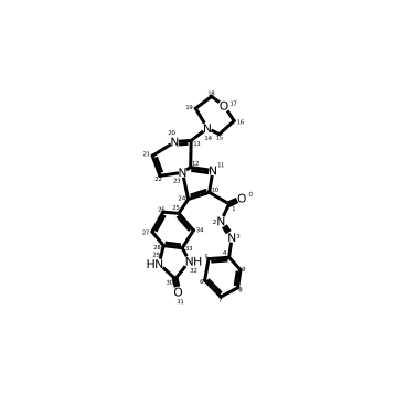 O=C(N=Nc1ccccc1)c1nc2c(N3CCOCC3)nccn2c1-c1ccc2[nH]c(=O)[nH]c2c1